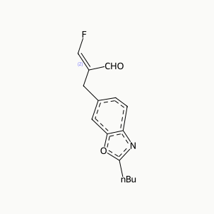 CCCCc1nc2ccc(C/C(C=O)=C/F)cc2o1